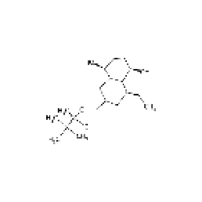 CC[C@H]1CC(CO[Si](C)(C)C(C)(C)C)CC2C1[C@H](O)CC[C@@H]2O